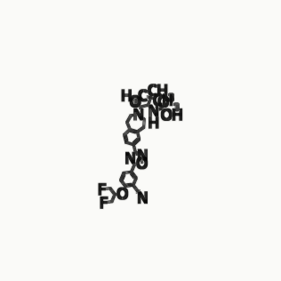 CC(C)(C)C(NC(=O)O)C(=O)N1CCc2ccc(-c3noc(-c4ccc(OC(CF)CF)c(C#N)c4)n3)cc2CC1